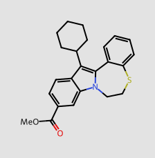 COC(=O)c1ccc2c(C3CCCCC3)c3n(c2c1)CCSc1ccccc1-3